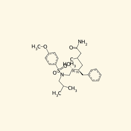 COc1ccc(S(=O)(=O)N(CC(C)C)C[C@H](O)[C@H](Cc2ccccc2)CC(C)CC(N)=O)cc1